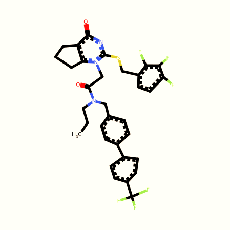 CCCN(Cc1ccc(-c2ccc(C(F)(F)F)cc2)cc1)C(=O)Cn1c(SCc2ccc(F)c(F)c2F)nc(=O)c2c1CCC2